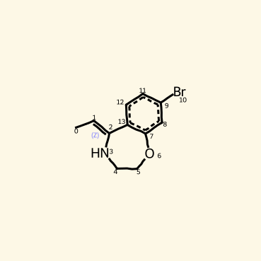 C/C=C1\NCCOc2cc(Br)ccc21